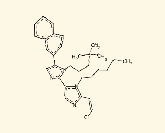 CCCCCCn1c(-c2ncc(-c3ccc4ccccc4c3)n2CCCC(C)(C)C)cnc1/C=C\Cl